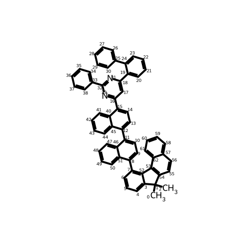 CC1(C)c2cccc(-c3ccc(-c4ccc(-c5cc(-c6ccccc6-c6ccccc6)nc(-c6ccccc6)n5)c5ccccc45)c4ccccc34)c2-c2c1ccc1ccccc21